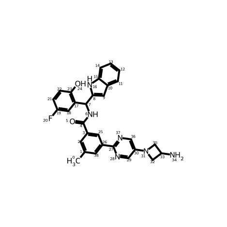 Cc1cc(C(=O)NC(c2cc3ccccc3[nH]2)c2cc(F)ccc2O)cc(-c2ncc(N3CC(N)C3)cn2)c1